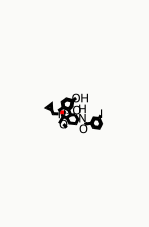 CO[C@@]12CC[C@@H](NC(=O)c3cccc(I)c3)C3Oc4c(O)ccc(C)c4[C@@]31CCN(CC1CC1)C2C